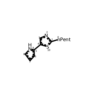 CCCCCc1ncc(-c2ccc[nH]2)s1